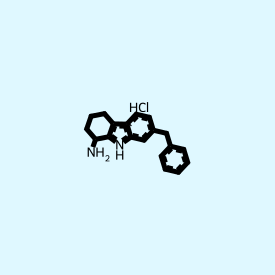 Cl.NC1CCCc2c1[nH]c1cc(Cc3ccccc3)ccc21